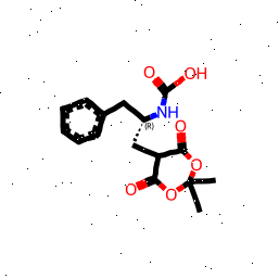 CC1(C)OC(=O)C(C[C@H](Cc2ccccc2)NC(=O)O)C(=O)O1